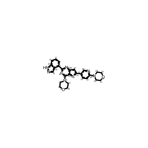 c1cc(-c2nc(N3CCOCC3)c3sc(-c4ccc(N5CCOCC5)nc4)cc3n2)c2cn[nH]c2c1